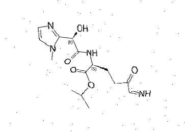 CC(C)OC(=O)[C@H](CCC(=O)C=N)NC(=O)[C@H](O)c1nccn1C